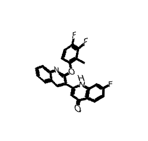 Cc1c(Oc2nc3ccccc3cc2-c2cc(=O)c3ccc(F)cc3[nH]2)ccc(F)c1F